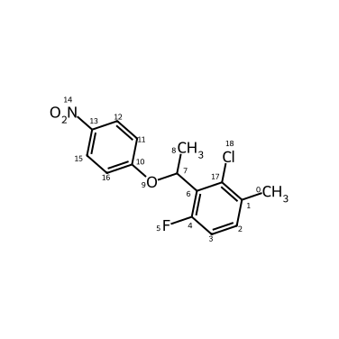 Cc1ccc(F)c(C(C)Oc2ccc([N+](=O)[O-])cc2)c1Cl